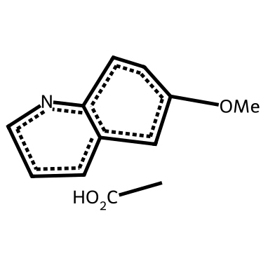 CC(=O)O.COc1ccc2ncccc2c1